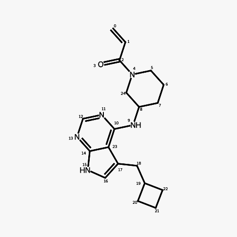 C=CC(=O)N1CCCC(Nc2ncnc3[nH]cc(CC4CCC4)c23)C1